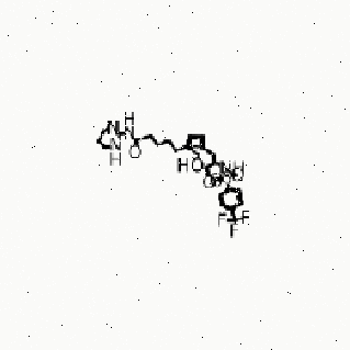 O=C(CCCCc1ccc(CC(NS(=O)(=O)c2ccc(C(F)(F)F)cc2)C(=O)O)s1)NC1=NCCCN1